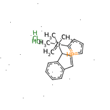 Cl.Cl.[CH2]=[Zr]([CH3])([CH3])([CH3])([c]1ccc[pH]1)[CH]1C=Cc2ccccc21